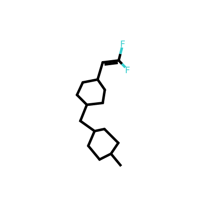 CC1CCC(CC2CCC(C=C(F)F)CC2)CC1